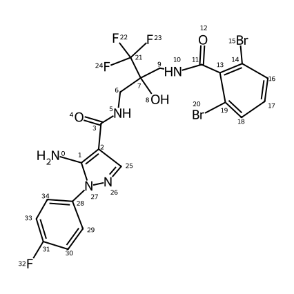 Nc1c(C(=O)NCC(O)(CNC(=O)c2c(Br)cccc2Br)C(F)(F)F)cnn1-c1ccc(F)cc1